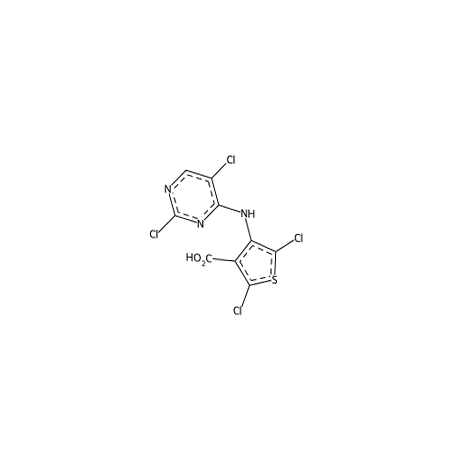 O=C(O)c1c(Cl)sc(Cl)c1Nc1nc(Cl)ncc1Cl